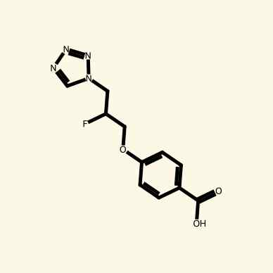 O=C(O)c1ccc(OCC(F)Cn2cnnn2)cc1